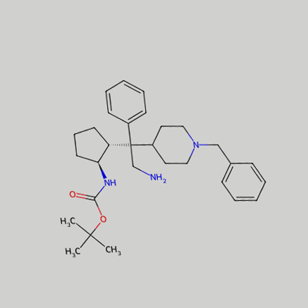 CC(C)(C)OC(=O)N[C@H]1CCC[C@@H]1C(CN)(c1ccccc1)C1CCN(Cc2ccccc2)CC1